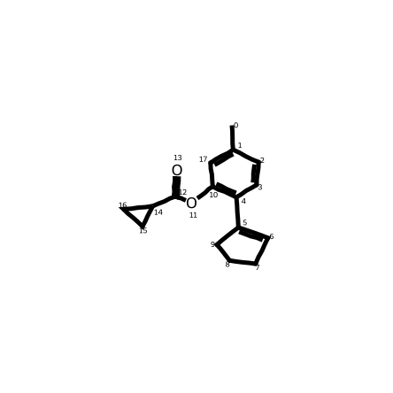 Cc1ccc(C2=CCCC2)c(OC(=O)C2CC2)c1